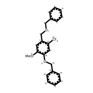 COc1cc(COCc2ccccc2)c(C(F)(F)F)cc1OCc1ccccc1